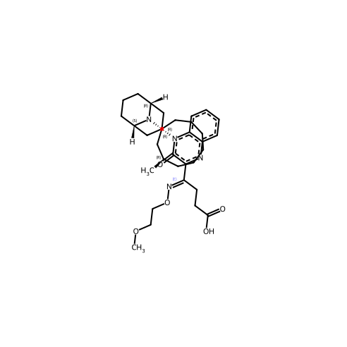 COCCO/N=C(\CCC(=O)O)c1nc2ccccc2n([C@H]2C[C@H]3CCC[C@@H](C2)N3[C@@H]2CCCCCC[C@@H](C)C2)c1=O